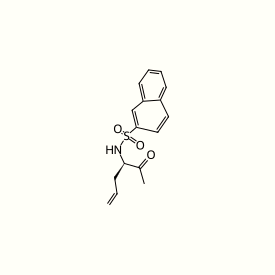 C=CC[C@@H](NS(=O)(=O)c1ccc2ccccc2c1)C(C)=O